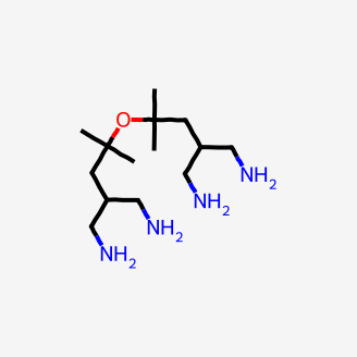 CC(C)(CC(CN)CN)OC(C)(C)CC(CN)CN